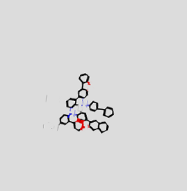 Cc1cc2c3c(c1)N(c1ccc(C(C)(C)C)cc1-c1ccccc1)c1cc4oc5cc6ccccc6cc5c4cc1B3N(c1ccc(-c3ccccc3)cc1)c1cc3oc4ccccc4c3cc1-2